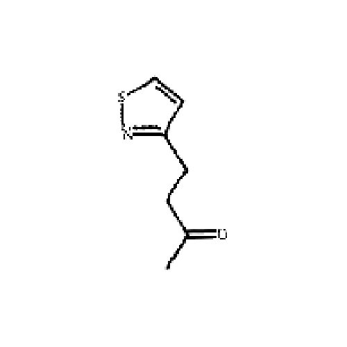 CC(=O)CCc1ccsn1